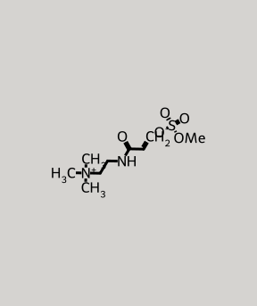 C=CC(=O)NCC[N+](C)(C)C.COS(=O)(=O)[O-]